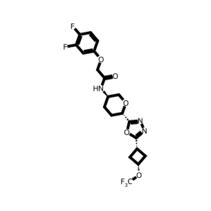 O=C(COc1ccc(F)c(F)c1)N[C@@H]1CC[C@@H](c2nnc([C@H]3C[C@@H](OC(F)(F)F)C3)o2)OC1